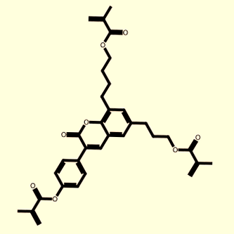 C=C(C)C(=O)OCCCCc1cc(CCCOC(=O)C(=C)C)cc2cc(-c3ccc(OC(=O)C(=C)C)cc3)c(=O)oc12